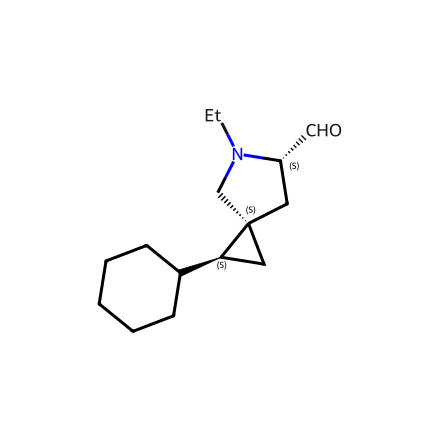 CCN1C[C@]2(C[C@H]1C=O)C[C@H]2C1CCCCC1